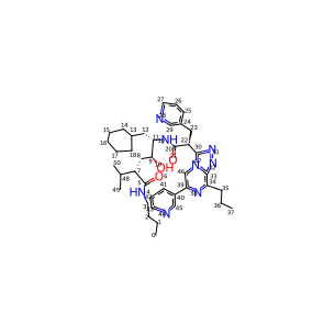 CCCCNC(=O)[C@@H](C[C@H](O)[C@H](CC1CCCCC1)NC(=O)[C@@H](Cc1cccnc1)c1nnc2c(CCC)nc(-c3cccnc3)cn12)C(C)C